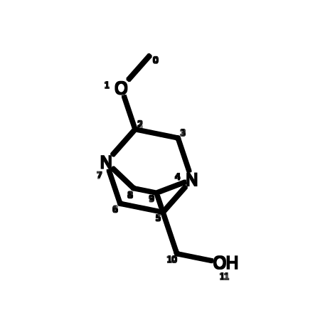 COC1CN2CCN1CC2CO